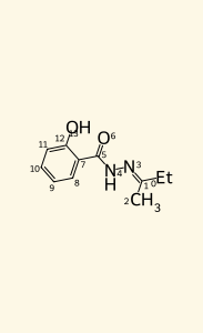 CCC(C)=NNC(=O)c1ccccc1O